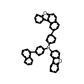 c1ccc2c(-c3ccc(N(c4ccc(-c5ccc6ccc7oc8ccccc8c7c6c5)cc4)c4ccc5oc6ccccc6c5c4)cc3)cccc2c1